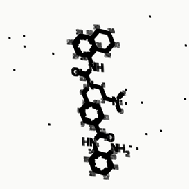 CN(C)CCN(Cc1ccc(C(=O)Nc2ccccc2N)cc1)C(=O)Nc1cccc2c1CCCC2